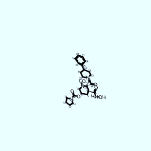 O=C(NO)[C@H]1C[C@H](OC(=O)N2CCCC2)CN(C(=O)O)[C@@H]1C(=O)N1CCC(c2ccccc2)CC1